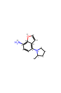 CC1CCCN1c1ccc(N)c2occc12